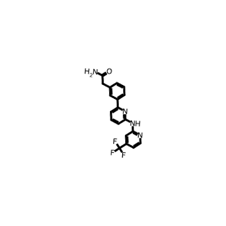 NC(=O)Cc1cccc(-c2cccc(Nc3cc(C(F)(F)F)ccn3)n2)c1